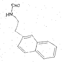 O=CNCCc1ccc2ccccc2c1